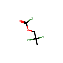 CC(Cl)(Cl)COC(=O)Cl